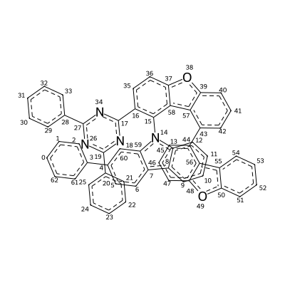 c1ccc(-c2ccc3c4ccccc4n(-c4c(-c5nc(-c6ccccc6)nc(-c6ccccc6)n5)ccc5oc6cccc(-c7cccc8oc9ccccc9c78)c6c45)c3c2)cc1